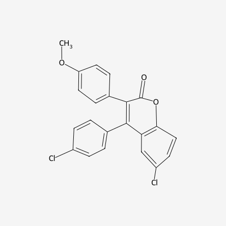 COc1ccc(-c2c(-c3ccc(Cl)cc3)c3cc(Cl)ccc3oc2=O)cc1